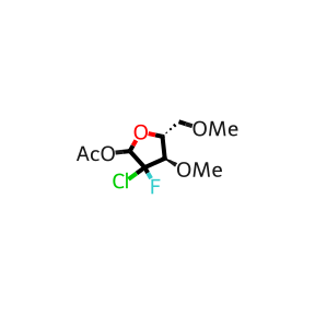 COC[C@H]1OC(OC(C)=O)C(F)(Cl)[C@@H]1OC